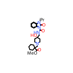 COC(=O)C1(CN2CCC(O)(CNC(=O)n3c(=O)n(C(C)C)c4ccccc43)CC2)CCCCC1